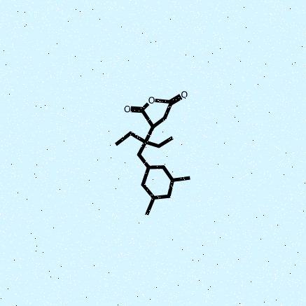 CCC(CC)(CC1CC(C)CC(C)C1)C1CC(=O)OC1=O